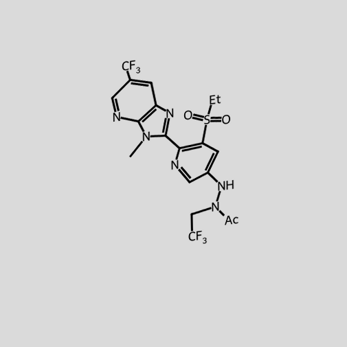 CCS(=O)(=O)c1cc(NN(CC(F)(F)F)C(C)=O)cnc1-c1nc2cc(C(F)(F)F)cnc2n1C